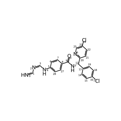 N=C/N=C\Nc1ccc(C(=O)N[C@@H](c2ccc(Cl)cc2)c2ccc(Cl)cn2)cc1